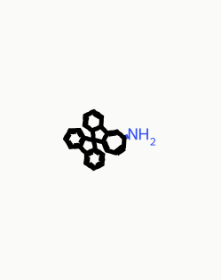 NC1C#CC=C2C(=C1)C1C=CC=CC1C21c2ccccc2-c2ccccc21